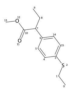 CCSc1ccc(C(CC)C(=O)OC)cc1